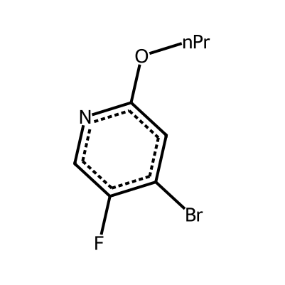 CCCOc1cc(Br)c(F)cn1